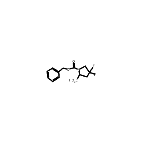 O=C(O)C1CC(F)(F)CN1C(=O)OCc1ccccc1